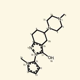 CN1CCN(C2CCc3nn(-c4cccn4C)c(O)c3C2)CC1